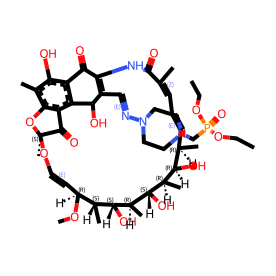 CCOP(=O)(CN1CCN(/N=C/C2=C3NC(=O)/C(C)=C\C=C\[C@@H](C)[C@@H](O)[C@@H](C)[C@H](O)[C@@H](C)[C@H](O)[C@H](C)[C@@H](OC)/C=C/O[C@@]4(C)Oc5c(C)c(O)c(c(c5C4=O)C2O)C3=O)CC1)OCC